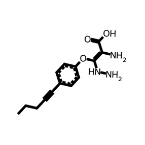 CCCC#Cc1ccc(O/C(NN)=C(/N)C(=O)O)cc1